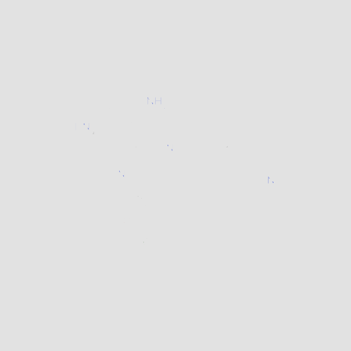 Cl.NC1CNCCn2c1nc(-c1ccncc1)cc2=O